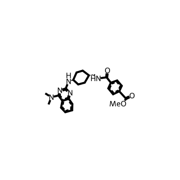 COC(=O)c1ccc(C(=O)NC[C@H]2CC[C@@H](Nc3nc(N(C)C)c4ccccc4n3)CC2)cc1